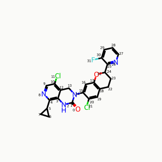 O=C1Nc2c(C3CC3)ncc(Cl)c2CN1c1cc2c(cc1Cl)CCC(c1ncccc1F)O2